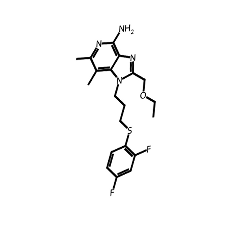 CCOCc1nc2c(N)nc(C)c(C)c2n1CCCSc1ccc(F)cc1F